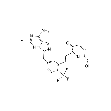 Nc1nc(Cl)nc2c1cnn2Cc1ccc(C(F)(F)F)c(CCn2nc(CO)ccc2=O)c1